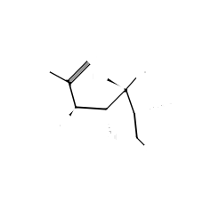 CC[C@@H](O)[C@@](C)(O)[C@H](O)[C@@H](C)C(=O)O